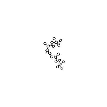 c1ccc(-c2cc(-c3ccc4oc5cc(-c6cccc(-c7cc(-n8c9ccccc9c9c(-c%10cc%11c%12ccccc%12n(-c%12ccccc%12)c%11cc%10-c%10ccccc%10)cccc98)nc(-c8ccccc8)n7)c6)ccc5c4c3)cc(-n3c4ccccc4c4c(-c5cc6c7ccccc7n(-c7ccccc7)c6cc5-c5ccccc5)cccc43)c2)cc1